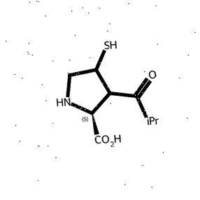 CC(C)C(=O)C1C(S)CN[C@@H]1C(=O)O